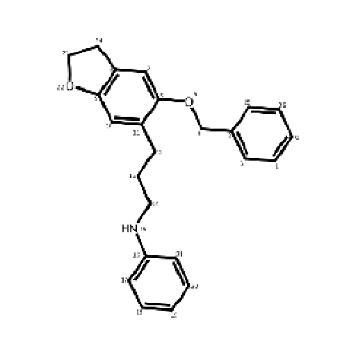 c1ccc(COc2cc3c(cc2CCCNc2ccccc2)OCC3)cc1